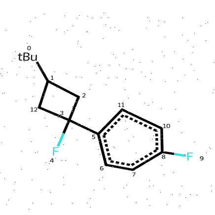 CC(C)(C)C1CC(F)(c2ccc(F)cc2)C1